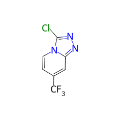 FC(F)(F)c1ccn2c(Cl)nnc2c1